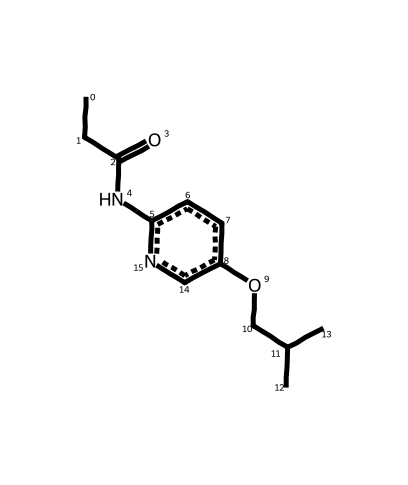 CCC(=O)Nc1ccc(OCC(C)C)cn1